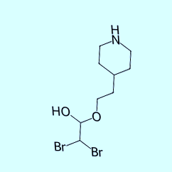 OC(OCCC1CCNCC1)C(Br)Br